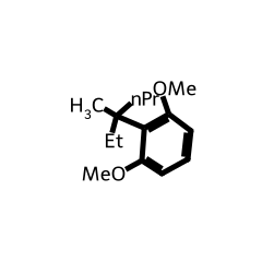 CCCC(C)(CC)c1c(OC)cccc1OC